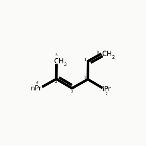 C=CC(/[C]=C(\C)CCC)C(C)C